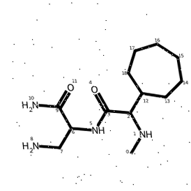 CNC(C(=O)NC(CN)C(N)=O)C1CCCCCC1